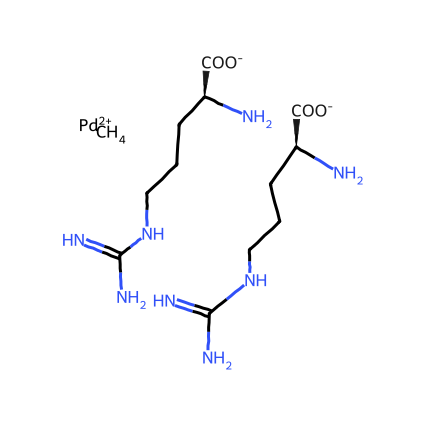 C.N=C(N)NCCC[C@H](N)C(=O)[O-].N=C(N)NCCC[C@H](N)C(=O)[O-].[Pd+2]